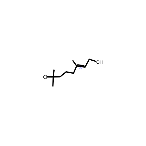 C/C(=C\CO)CCCC(C)(C)Cl